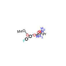 COCCCOc1cc(COC[C@H](N)[C@@H](O)C[C@H](C(N)=O)C(C)C)ccc1-c1ccc(F)cc1